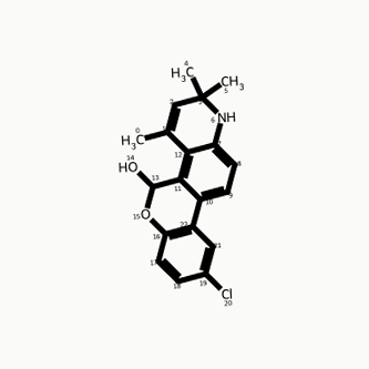 CC1=CC(C)(C)Nc2ccc3c(c21)C(O)Oc1ccc(Cl)cc1-3